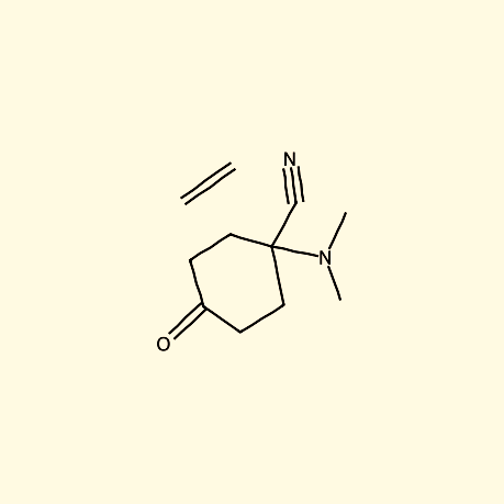 C=C.CN(C)C1(C#N)CCC(=O)CC1